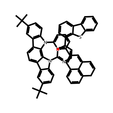 CC(C)(C)c1ccc2c(c1)c1ccc3c4cc(C(C)(C)C)ccc4n(-c4nccc(-c5cccc6c5sc5ccccc56)n4)c3c1n2-c1cccc(-c2cc3c4c(cccc4c2)CC=C3)n1